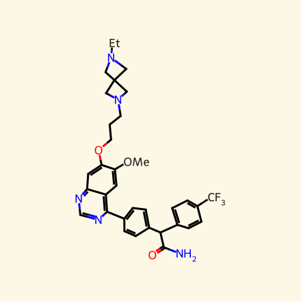 CCN1CC2(C1)CN(CCCOc1cc3ncnc(-c4ccc(C(C(N)=O)c5ccc(C(F)(F)F)cc5)cc4)c3cc1OC)C2